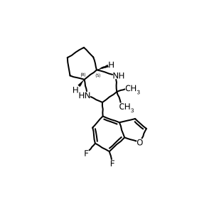 CC1(C)N[C@H]2CCCC[C@H]2NC1c1cc(F)c(F)c2occc12